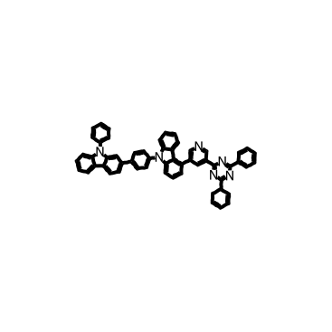 C1=CCC(c2nc(-c3ccccc3)nc(-c3cncc(-c4cccc5c4c4ccccc4n5-c4ccc(-c5ccc6c7ccccc7n(-c7ccccc7)c6c5)cc4)c3)n2)C=C1